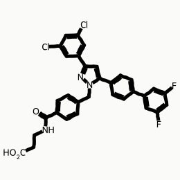 O=C(O)CCNC(=O)c1ccc(Cn2nc(-c3cc(Cl)cc(Cl)c3)cc2-c2ccc(-c3cc(F)cc(F)c3)cc2)cc1